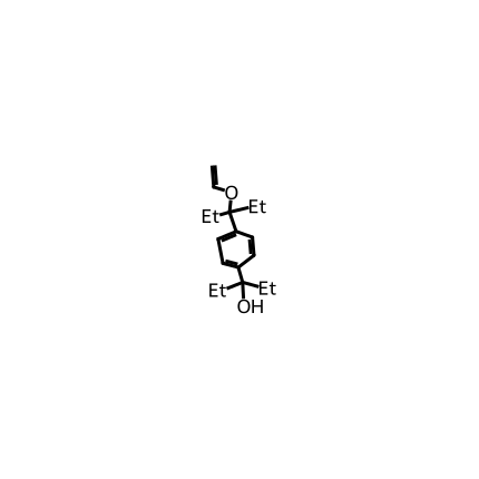 C=COC(CC)(CC)c1ccc(C(O)(CC)CC)cc1